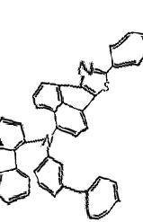 c1ccc(-c2cccc(N(c3ccc4c5c(cccc35)-c3nc(-c5ccccc5)sc3-4)c3cccc4oc5ccccc5c34)c2)cc1